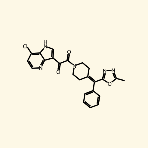 Cc1nnc(C(=C2CCN(C(=O)C(=O)c3c[nH]c4c(Cl)ccnc34)CC2)c2ccccc2)o1